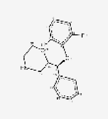 Fc1cccc(F)c1O[C@@H](c1ccccc1)C1CNCCO1